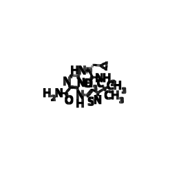 CC(C)(C)c1cc(Nc2nc(N[C@H](CC3CC3)C(N)=O)cnc2C(N)=O)sn1